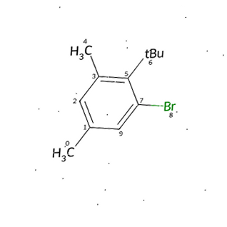 Cc1cc(C)c(C(C)(C)C)c(Br)c1